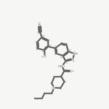 CCCCN1CCC(C(=O)Nc2n[nH]c3ccc(-c4cc(C#N)ccc4Cl)cc23)CC1